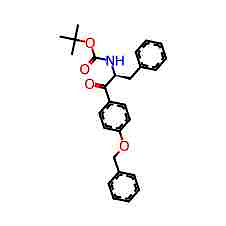 CC(C)(C)OC(=O)N[C@@H](Cc1ccccc1)C(=O)c1ccc(OCc2ccccc2)cc1